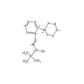 CC(C)(C)[S+]([O-])/N=C/c1ccccc1N1CCOCC1